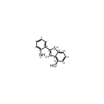 Nc1ccccc1-c1nc2c(O)cccc2s1